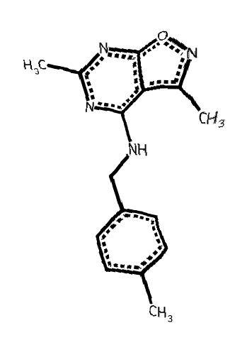 Cc1ccc(CNc2nc(C)nc3onc(C)c23)cc1